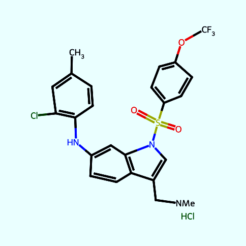 CNCc1cn(S(=O)(=O)c2ccc(OC(F)(F)F)cc2)c2cc(Nc3ccc(C)cc3Cl)ccc12.Cl